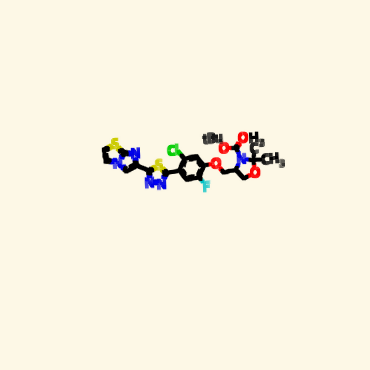 CC(C)(C)OC(=O)N1C(COc2cc(Cl)c(-c3nnc(-c4cn5ccsc5n4)s3)cc2F)COC1(C)C